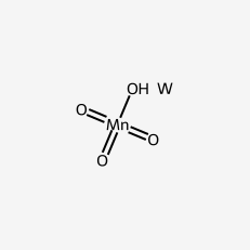 [O]=[Mn](=[O])(=[O])[OH].[W]